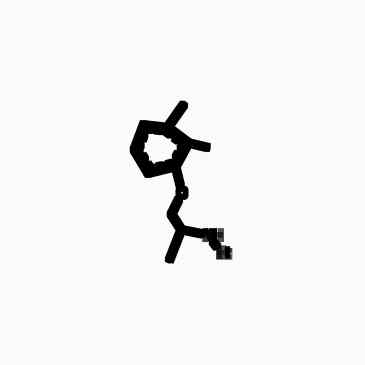 CCNC(C)COc1cccc(C)c1C